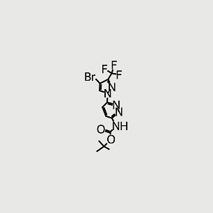 CC(C)(C)OC(=O)Nc1ccc(-n2cc(Br)c(C(F)(F)F)n2)nn1